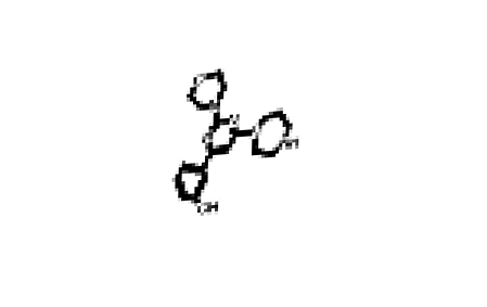 Oc1cccc(-c2cc(N3CCCNCC3)nc(N3CCOCC3)n2)c1